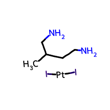 CC(CN)CCN.[I][Pt][I]